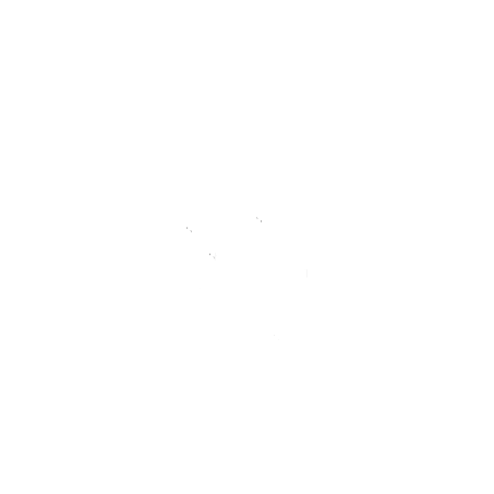 [Na+].[S-]c1ccnc(N2CCOCC2)c1Cl